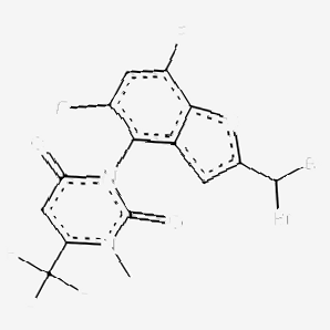 Cn1c(C(F)(F)F)cc(=O)n(-c2c(F)cc(F)c3oc(C(Br)Br)cc23)c1=O